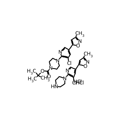 Cc1cc(-c2cnc(N3CCN(C(=O)OC(C)(C)C)CC3)c(Cl)c2)on1.Cc1cc(-c2cnc(N3CCNCC3)c(Cl)c2)on1.Cl.Cl